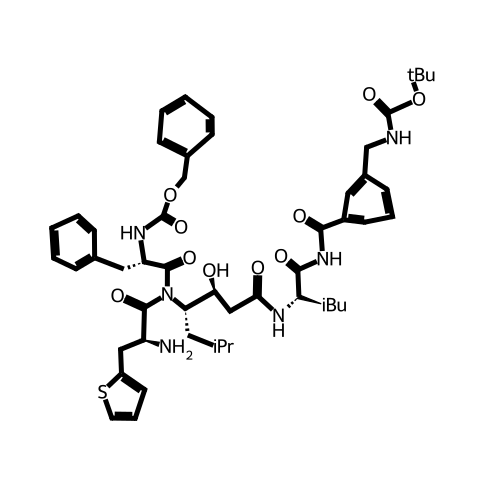 CC[C@H](C)[C@H](NC(=O)C[C@H](O)[C@H](CC(C)C)N(C(=O)[C@H](Cc1ccccc1)NC(=O)OCc1ccccc1)C(=O)[C@@H](N)Cc1cccs1)C(=O)NC(=O)c1cccc(CNC(=O)OC(C)(C)C)c1